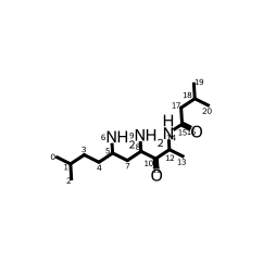 CC(C)CCC(N)CC(N)C(=O)C(C)NC(=O)CC(C)C